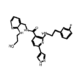 O=C(NCc1cccnc1NCCO)c1ccc(-c2cn[nH]c2)nc1NCCc1cccc(F)c1